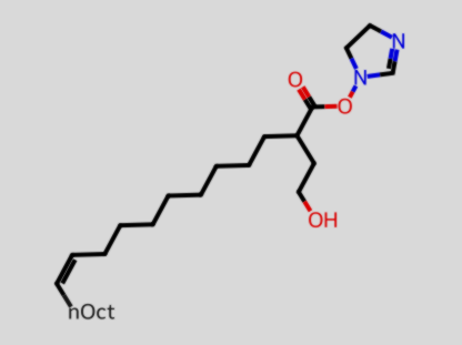 CCCCCCCC/C=C\CCCCCCCCC(CCO)C(=O)ON1C=NCC1